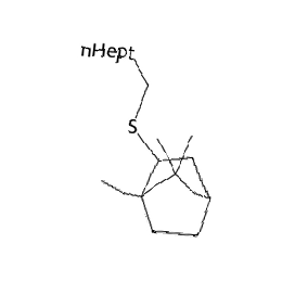 CCCCCCCCSC1CC2CCC1(C)C2(C)C